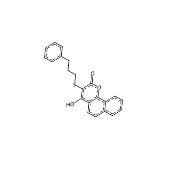 O=c1oc2c(ccc3ccccc32)c(O)c1SCCCc1ccccc1